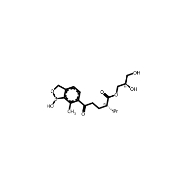 Cc1c(C(=O)CC[C@H](C(=O)OC[C@H](O)CO)C(C)C)ccc2c1B(O)OC2